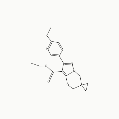 CCOC(=O)c1c(-c2ccc(CC)nc2)nn2c1OCC1(CC1)C2